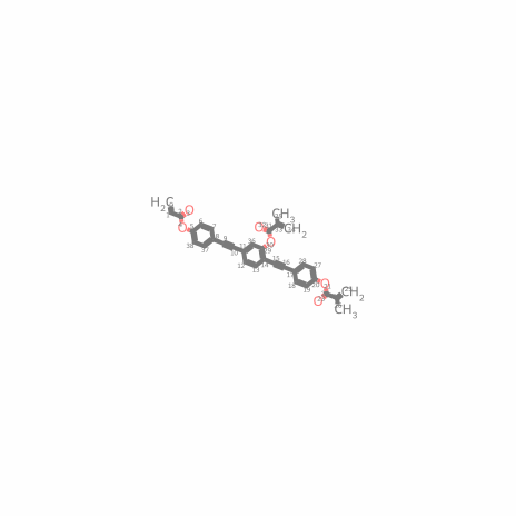 C=CC(=O)Oc1ccc(C#Cc2ccc(C#Cc3ccc(OC(=O)C(=C)C)cc3)c(OC(=O)C(=C)C)c2)cc1